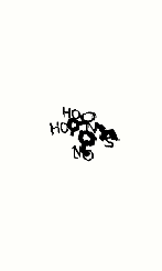 Cc1cc(C(=O)N(Cc2ccsc2)c2ccc(C(=O)N(C)C)cc2)c(O)cc1O